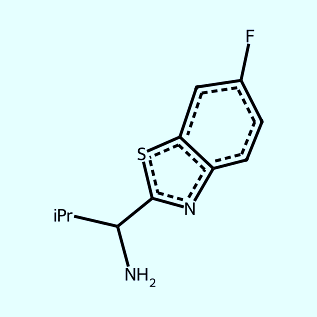 CC(C)C(N)c1nc2ccc(F)cc2s1